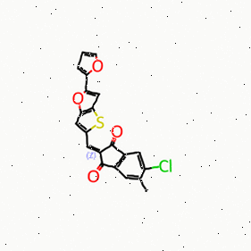 Cc1cc2c(cc1Cl)C(=O)/C(=C\c1cc3oc(-c4ccco4)cc3s1)C2=O